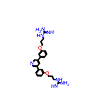 N=C(N)NCCCOc1cccc(-c2cncc(-c3cccc(OCCCNC(=N)N)c3)c2)c1